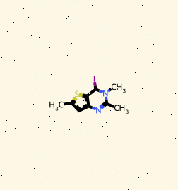 CC1=Nc2cc(C)sc2C(I)N1C